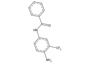 Nc1ccc(NC(=O)c2ccccc2)cc1C(F)(F)F